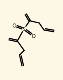 C=CCC(=C)S(=O)(=O)C(=C)CC=C